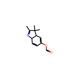 CC1=NC2C=CC(OC=O)=CC2C1(C)C